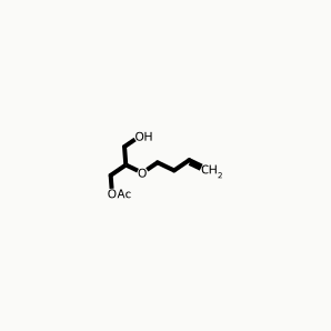 C=CCCOC(CO)COC(C)=O